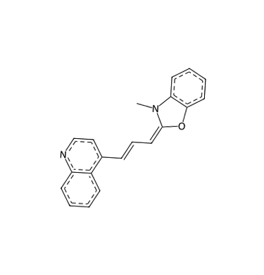 CN1C(=CC=Cc2ccnc3ccccc23)Oc2ccccc21